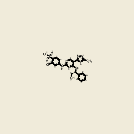 Cc1nnc(-c2cnc(Nc3ccc(S(C)(=O)=O)c(Cl)c3)nc2N[C@H](CO)c2ccccc2)s1